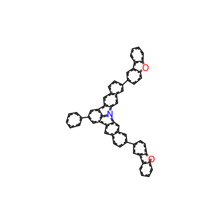 c1ccc(-c2cc3c4cc5ccc(-c6ccc7oc8ccccc8c7c6)cc5cc4n4c5cc6cc(-c7ccc8oc9ccccc9c8c7)ccc6cc5c(c2)c34)cc1